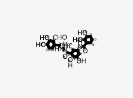 O=Cc1c(CNNC(=O)c2c(O)c(O)cc(NC(=O)c3cccc(O)c3O)c2C=O)ccc(O)c1O